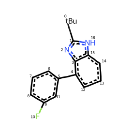 CC(C)(C)c1nc2c(-c3cccc(F)c3)cccc2[nH]1